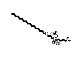 CCCCCCCCCCCCCCCCCOCC(COP(=O)(O)CCCCN(C)C)OC(C)=O